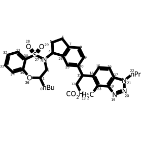 CCCCC1CN(C2CCc3ccc(C(CC(=O)O)c4ccc5c(nnn5CCC)c4C)cc32)S(=O)(=O)c2ccccc2O1